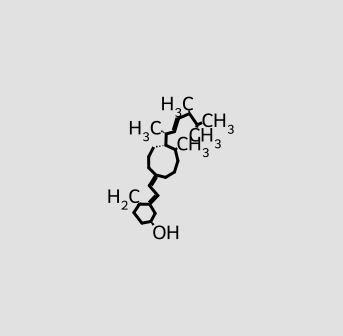 C=C1CC[C@H](O)C/C1=C/C=C1/CCC[C@H]([C@H](C)/C=C/[C@H](C)C(C)C)[C@@H](C)CCC1